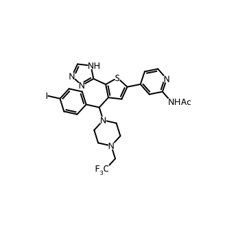 CC(=O)Nc1cc(-c2cc(C(c3ccc(I)cc3)N3CCN(CC(F)(F)F)CC3)c(-c3nnc[nH]3)s2)ccn1